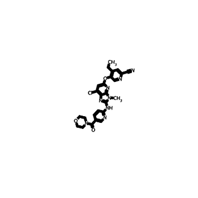 CCc1cc(C#N)ncc1Oc1cc(Cl)c2nc(Nc3ccc(C(=O)N4CCOCC4)cn3)n(C)c2n1